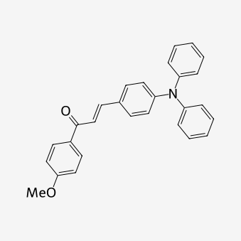 COc1ccc(C(=O)C=Cc2ccc(N(c3ccccc3)c3ccccc3)cc2)cc1